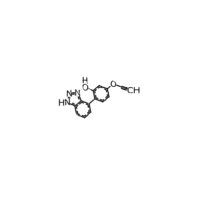 C#COc1ccc(-c2cccc3[nH]nnc23)c(O)c1